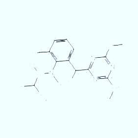 COc1nc(OC)nc(C(O)c2cccc(Cl)c2N(C)[S+]([O-])C(F)F)n1